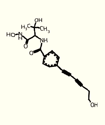 CC(C)(O)C(NC(=O)c1ccc(C#CC#CCCO)cc1)C(=O)NO